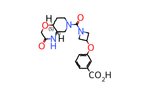 O=C1CO[C@H]2CCN(C(=O)N3CC(Oc4cccc(C(=O)O)c4)C3)C[C@H]2N1